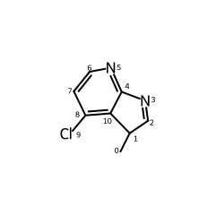 CC1C=Nc2nccc(Cl)c21